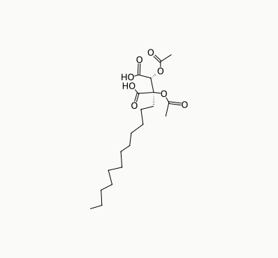 CCCCCCCCCCCC[C@](OC(C)=O)(C(=O)O)[C@@H](OC(C)=O)C(=O)O